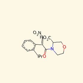 CC(C)c1ccccc1/C(=C\[N+](=O)[O-])C(=O)N1CCOCC1C(=O)O